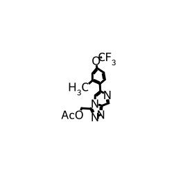 CC(=O)OCc1nnc2cnc(-c3ccc(OC(F)(F)F)cc3C)cn12